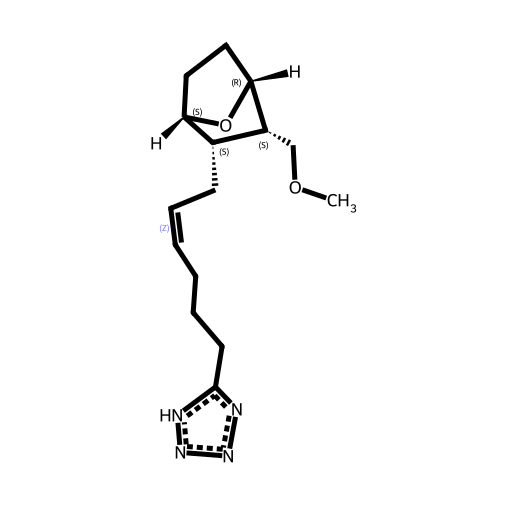 COC[C@@H]1[C@H](C/C=C\CCCc2nnn[nH]2)[C@@H]2CC[C@H]1O2